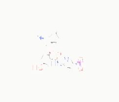 N#Cc1ccccc1COc1ccc(O)cc1C(=O)Nc1ccc([N+](=O)[O-])cn1